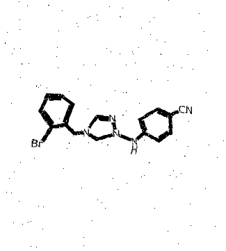 N#Cc1ccc(NN2CN(Cc3ccccc3Br)C=N2)cc1